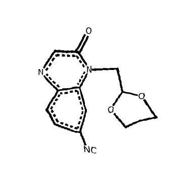 [C-]#[N+]c1ccc2ncc(=O)n(CC3OCCO3)c2c1